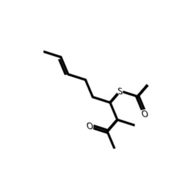 CC=CCCC(SC(C)=O)C(C)C(C)=O